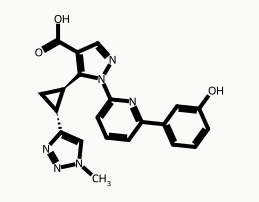 Cn1cc([C@@H]2C[C@H]2c2c(C(=O)O)cnn2-c2cccc(-c3cccc(O)c3)n2)nn1